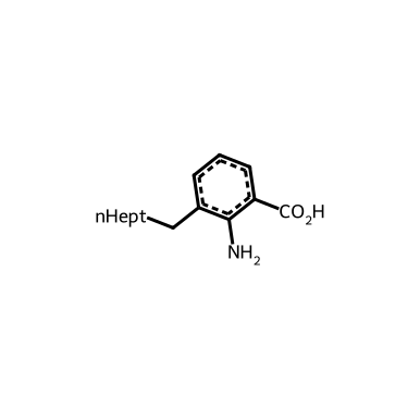 CCCCCCCCc1cccc(C(=O)O)c1N